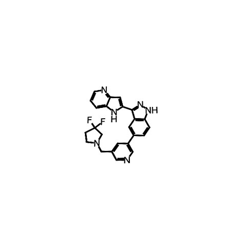 FC1(F)CCN(Cc2cncc(-c3ccc4[nH]nc(-c5cc6ncccc6[nH]5)c4c3)c2)C1